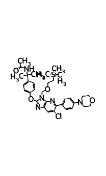 CC(=O)NC(C)(C)c1ccc(Oc2nc3cc(Cl)c(-c4ccc(N5CCOCC5)cc4)nc3n2COCC[Si](C)(C)C)cc1